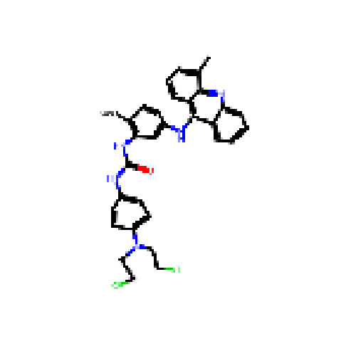 COc1ccc(Nc2c3ccccc3nc3c(C)cccc23)cc1NC(=O)Nc1ccc(N(CCCl)CCCl)cc1